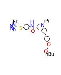 CCCCOCCOc1ccc(-c2ccc3c(c2)C=C(C(=O)Nc2ccc(SCc4nnnn4CC)cc2)CCN3CC(C)C)cc1